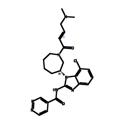 CN(C)C/C=C/C(=O)N1CCCC[C@@H](n2c(NC(=O)c3ccnnc3)nc3cccc(Cl)c32)C1